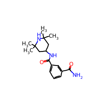 CC1(C)CC(NC(=O)c2cccc(C(N)=O)c2)CC(C)(C)N1